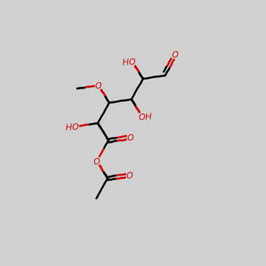 COC(C(O)C(=O)OC(C)=O)C(O)C(O)C=O